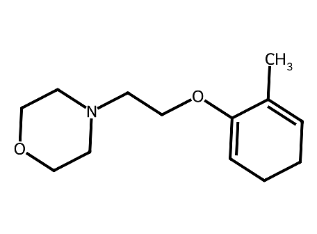 CC1=CCCC=C1OCCN1CCOCC1